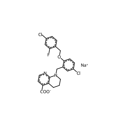 O=C([O-])c1ccnc2c1CCCN2Cc1cc(Cl)ccc1OCc1ccc(Cl)cc1F.[Na+]